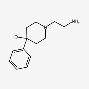 NCCN1CCC(O)(c2ccccc2)CC1